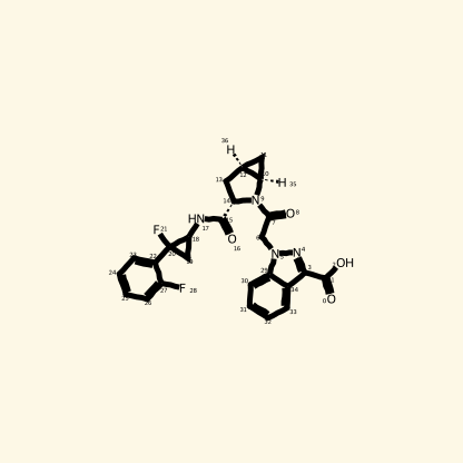 O=C(O)c1nn(CC(=O)N2[C@@H]3C[C@@H]3C[C@H]2C(=O)NC2CC2(F)c2ccccc2F)c2ccccc12